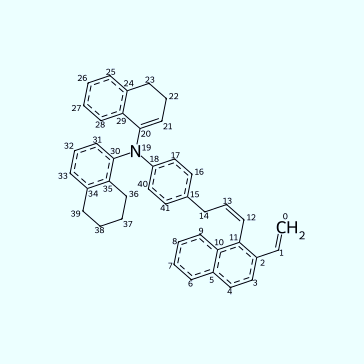 C=Cc1ccc2ccccc2c1/C=C\Cc1ccc(N(C2=CCCc3ccccc32)c2cccc3c2CCCC3)cc1